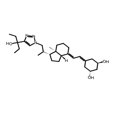 CCC(O)(CC)c1cn(CC(C)[C@H]2CC[C@H]3/C(=C/C=C4C[C@@H](O)C[C@H](O)C4)CCC[C@]23C)nn1